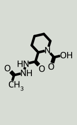 CC(=O)NNC(=O)C1CCCCN1C(=O)O